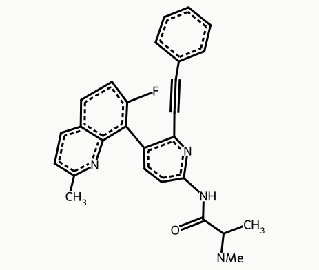 CNC(C)C(=O)Nc1ccc(-c2c(F)ccc3ccc(C)nc23)c(C#Cc2ccccc2)n1